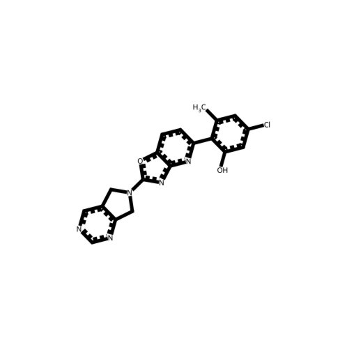 Cc1cc(Cl)cc(O)c1-c1ccc2oc(N3Cc4cncnc4C3)nc2n1